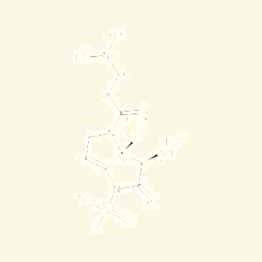 CCC[C@H]1C(=O)N(S(C)(=O)=O)C2=CCN(C(=O)CCN(CC)CC)[C@@H]21.Cl